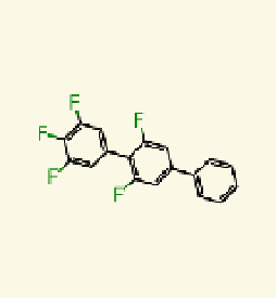 Fc1cc(-c2c(F)cc(-c3ccccc3)cc2F)cc(F)c1F